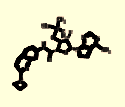 CC(C)(C)[Si](C)(C)OC1[C@@H](C(=O)Nc2ccc3ccc(N4CCC4)nc3c2)O[C@@H](n2ccc3c(N)ncnc32)[C@H]1F